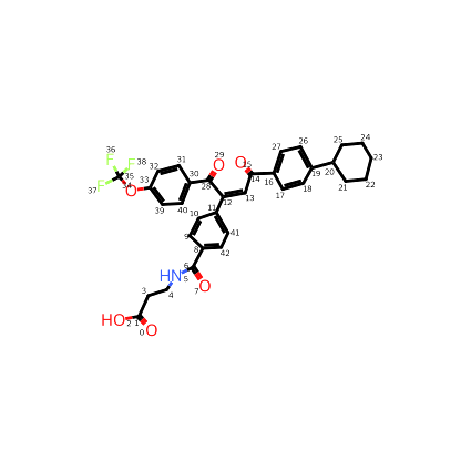 O=C(O)CCNC(=O)c1ccc(C(=CC(=O)c2ccc(C3CCCCC3)cc2)C(=O)c2ccc(OC(F)(F)F)cc2)cc1